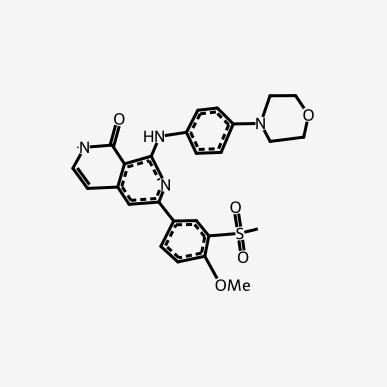 COc1ccc(-c2cc3c(c(Nc4ccc(N5CCOCC5)cc4)n2)C(=O)[N]C=C3)cc1S(C)(=O)=O